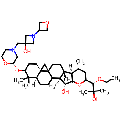 CCO[C@@H](C1C[C@@H](C)[C@H]2C(O1)[C@H](O)[C@@]1(C)C3CC[C@H]4C(C)(C)[C@@H](O[C@H]5CN(CC6(O)CN(C7COC7)C6)CCO5)CC[C@@]45C[C@@]35CC[C@]21C)C(C)(C)O